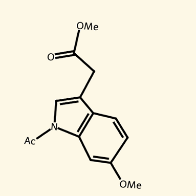 COC(=O)Cc1cn(C(C)=O)c2cc(OC)ccc12